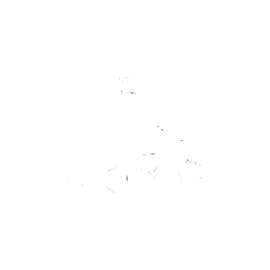 Fc1ccccc1-c1nn(-c2ccc(OC(F)(F)F)cc2)cc1CN1CCC(c2nnco2)CC1